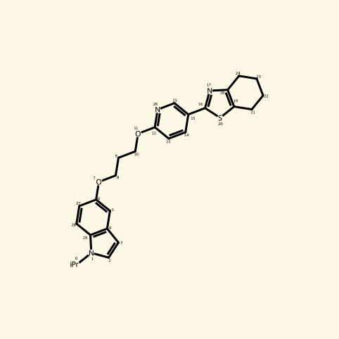 CC(C)n1ccc2cc(OCCCOc3ccc(-c4nc5c(s4)CCCC5)cn3)ccc21